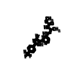 COC(=O)N[C@@H](C)CNc1ccnc(-c2[nH]c(-c3ccc(C(F)(F)F)cc3)nc2Br)n1